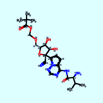 CC(C)[C@H](N)C(=O)Nc1ncnn2c([C@]3(C#N)O[C@H](COCOC(=O)C(C)(C)C)[C@@H](O)[C@H]3O)ccc12